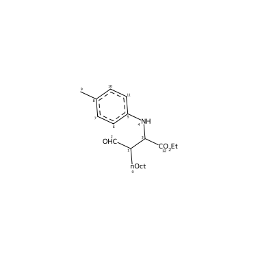 CCCCCCCCC(C=O)C(Nc1ccc(C)cc1)C(=O)OCC